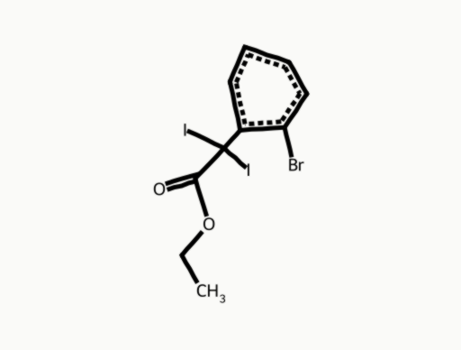 CCOC(=O)C(I)(I)c1ccccc1Br